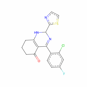 O=C1CCCC2=C1C(c1ccc(F)cc1Cl)=NC(c1nccs1)N2